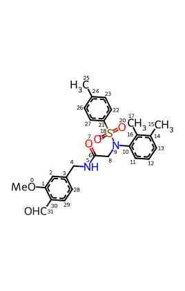 COc1cc(CNC(=O)CN(c2cccc(C)c2C)S(=O)(=O)c2ccc(C)cc2)ccc1C=O